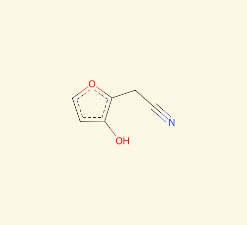 N#CCc1occc1O